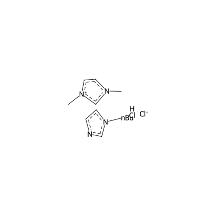 CCCCn1ccnc1.Cl.Cn1cc[n+](C)c1.[Cl-]